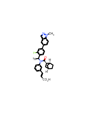 [2H]C(c1ccc(-c2ccc3c(cnn3C)c2)cc1F)N(C(=O)[C@@H]1C[C@@H]2CC[C@H]1C2)c1cccc(/C=C/C(=O)O)c1